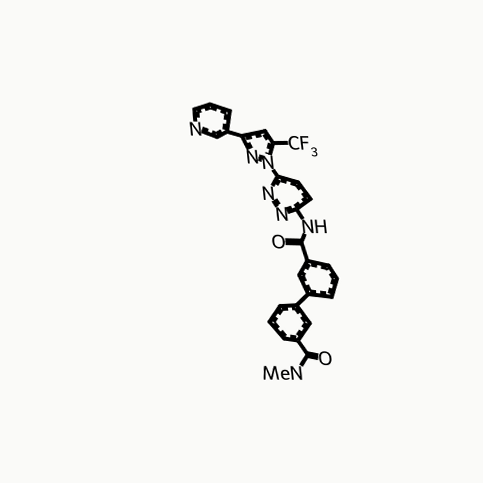 CNC(=O)c1cccc(-c2cccc(C(=O)Nc3ccc(-n4nc(-c5cccnc5)cc4C(F)(F)F)nn3)c2)c1